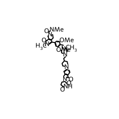 CNC(=O)N1CCc2c(-c3cc(OC)c(CN4CCN(CCC5CCN(c6ccc7c(c6)CN(C6CCC(=O)NC6=O)C7=O)CC5)C[C@H]4C)c(OC)c3)cn(C)c(=O)c2C1